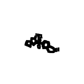 CC1CC2(CCC2)CN1S(=O)(=O)c1ccc2c(c1)CCNC2.Cl